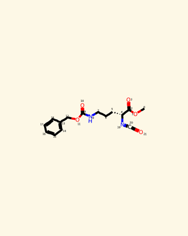 COC(=O)[C@@H](CCCNC(=O)OCc1ccccc1)N=C=O